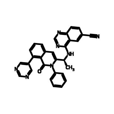 C[C@H](Nc1ncnc2ccc(C#N)cc12)c1cc2cccc(-c3cncnc3)c2c(=O)n1-c1ccccc1